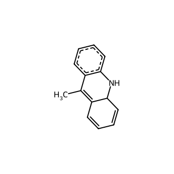 CC1=C2C=CC=CC2Nc2ccccc21